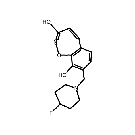 OC1=NOc2c(ccc(CN3CCC(F)CC3)c2O)C=C1